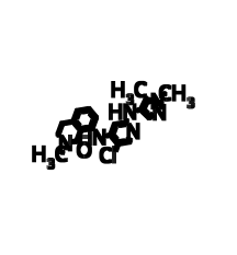 Cc1c(Nc2cc(Nc3cccc4c3C(=O)N(C)CC4)c(Cl)cn2)cnn1C